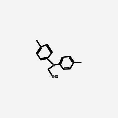 Cc1ccc(B(CC=O)c2ccc(C)cc2)cc1